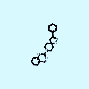 CCCc1ccccc1NC(=O)N1CCC2(CC1)CC(c1ccccc1)=NO2